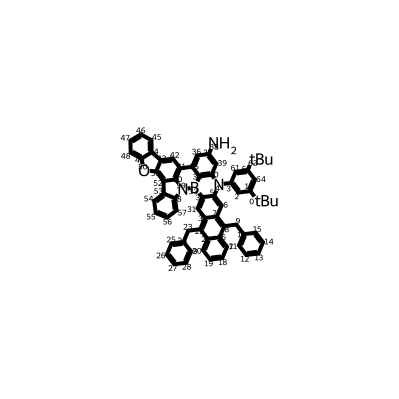 CC(C)(C)c1cc(N2c3cc4c(Cc5ccccc5)c5ccccc5c(Cc5ccccc5)c4cc3B3c4c(cc(N)cc42)-c2cc4c5ccccc5oc4c4c5ccccc5n3c24)cc(C(C)(C)C)c1